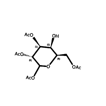 CC(=O)OC[C@H]1OC(OC(C)=O)[C@H](OC(C)=O)[C@@H](OC(C)=O)[C@H]1O